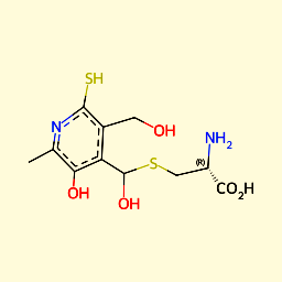 Cc1nc(S)c(CO)c(C(O)SC[C@H](N)C(=O)O)c1O